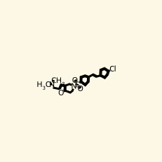 CN(C)Cc1cc2c(o1)CCN(S(=O)(=O)c1ccc(C=Cc3ccc(Cl)cc3)cc1)C2